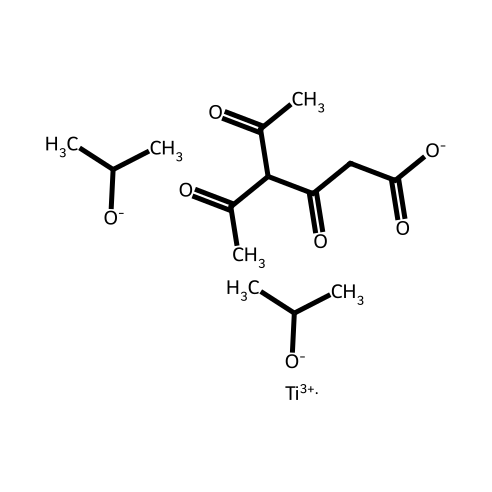 CC(=O)C(C(C)=O)C(=O)CC(=O)[O-].CC(C)[O-].CC(C)[O-].[Ti+3]